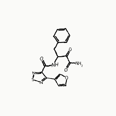 NC(=O)C(=O)C(Cc1ccccc1)NC(=O)c1nsnc1-c1ccoc1